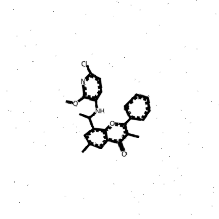 COc1nc(Cl)ccc1NC(C)c1cc(C)cc2c(=O)c(C)c(-c3ccccc3)oc12